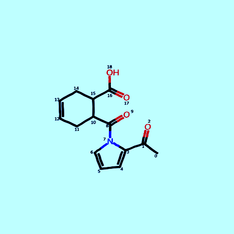 CC(=O)c1cccn1C(=O)C1CC=CCC1C(=O)O